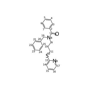 O=C(c1ccccc1)N(CCCSc1ccccn1)Cc1ccccc1